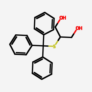 OCC(CO)SC(c1ccccc1)(c1ccccc1)c1ccccc1